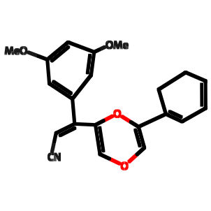 COc1cc(OC)cc(C(=CC#N)C2=COC=C(C3=CC=CCC3)O2)c1